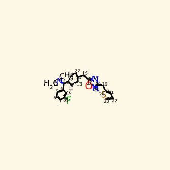 CN(C)C(c1cccc(F)c1)C1CCC(Cc2nc(Cc3cccs3)no2)CC1